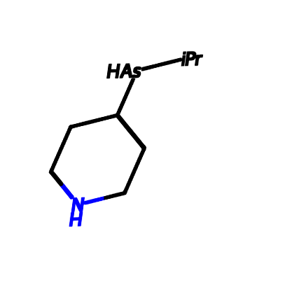 CC(C)[AsH]C1CCNCC1